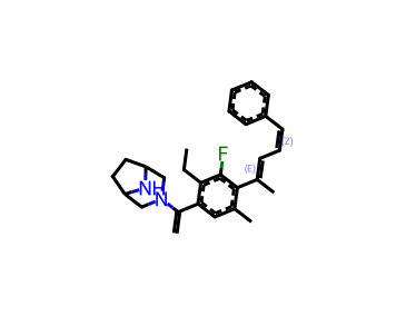 C=C(c1cc(C)c(/C(C)=C/C=C\c2ccccc2)c(F)c1CC)N1CC2CCC(C1)N2